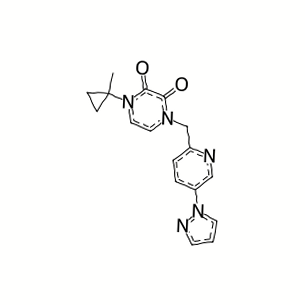 CC1(n2ccn(Cc3ccc(-n4cccn4)cn3)c(=O)c2=O)CC1